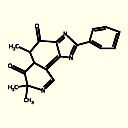 CC1C(=O)C2=NC(c3ccccc3)=NC2=C2C=NC(C)(C)C(=O)C21